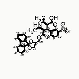 CC1=C(C(=O)O)C(c2cccc([N+](=O)[O-])c2)C(C(=O)OCC2COC(c3ccccc3)(c3ccccc3)O2)=C(C)N1